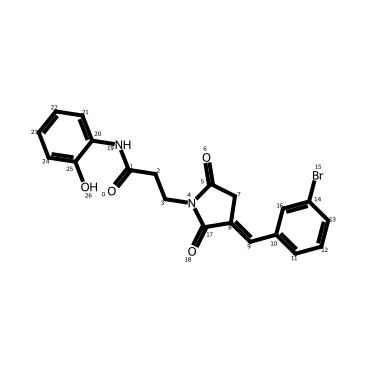 O=C(CCN1C(=O)C/C(=C\c2cccc(Br)c2)C1=O)Nc1ccccc1O